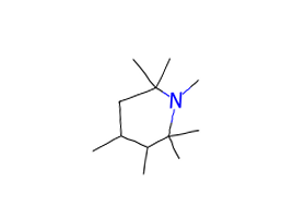 CC1CC(C)(C)N(C)C(C)(C)C1C